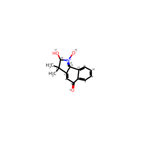 CC1(C)C2=CC(=O)c3ccccc3C2=[N+]([O-])C1O